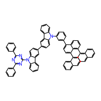 C1=c2ccccc2=C(c2cccc3c(-c4cccc(-n5c6ccccc6c6cc(-c7ccc8c(c7)c7ccccc7n8-c7nc(-c8ccccc8)nc(-c8ccccc8)n7)ccc65)c4)ccc(-c4cccc5ccccc45)c23)CC1